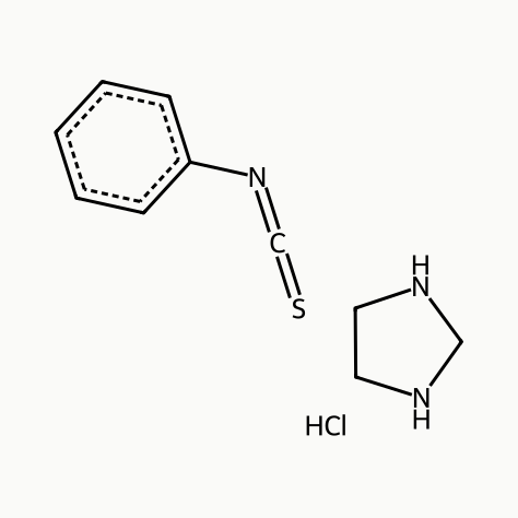 C1CNCN1.Cl.S=C=Nc1ccccc1